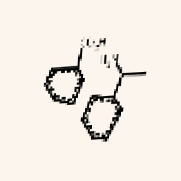 CC(N)c1ccccc1.O=C(O)c1ccccc1